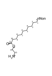 CCCCCCCCCCCCCCCCCCCC(=O)OCCN